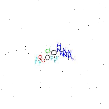 Nc1nc(Nc2cc(Cl)c(-c3ccc(OC(=O)C(F)(F)F)cc3)c(C(F)(F)F)c2)n[nH]1